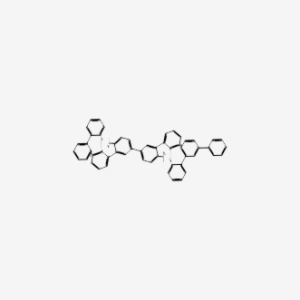 c1ccc(-c2cccc(-c3ccccc3-n3c4ccccc4c4cc(-c5ccc6c(c5)c5ccccc5n6-c5ccccc5-c5ccccc5)ccc43)c2)cc1